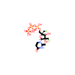 C=C1NC(=O)C=CN1[C@@H]1O[C@](CF)(COP(=O)(O)OP(=O)(O)OP(=O)(O)O)[C@@H](O)[C@]1(O)CF